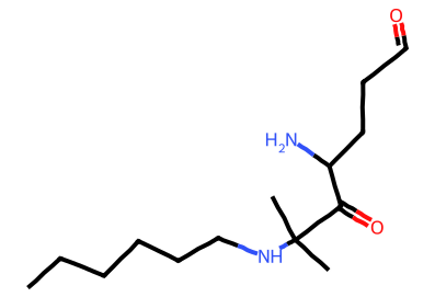 CCCCCCNC(C)(C)C(=O)C(N)CCC=O